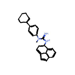 CN(C(=N)Nc1ccc2c3c(cccc13)C=C2)c1ccc(C2CCCCC2)cc1